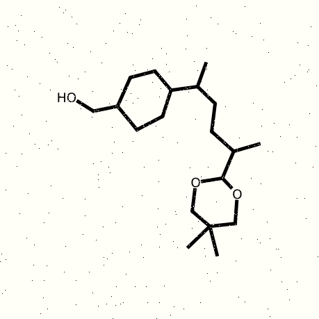 CC(CCC(C)C1OCC(C)(C)CO1)C1CCC(CO)CC1